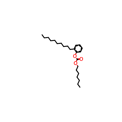 CCCCCCCCCCc1ccccc1OC(=O)OCCCCCCC